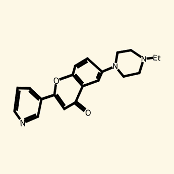 CCN1CCN(c2ccc3oc(-c4cccnc4)cc(=O)c3c2)CC1